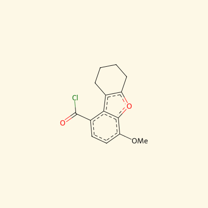 COc1ccc(C(=O)Cl)c2c3c(oc12)CCCC3